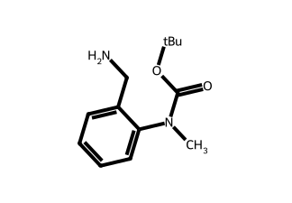 CN(C(=O)OC(C)(C)C)c1ccccc1CN